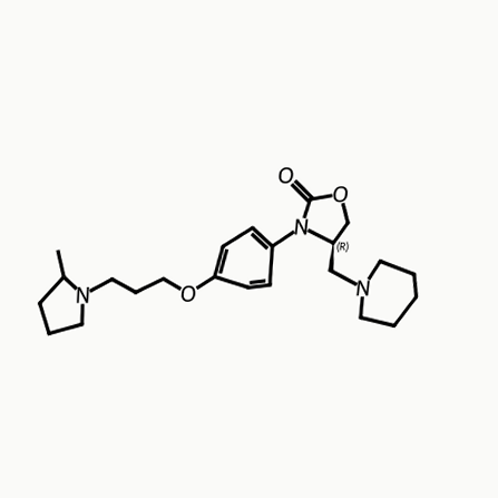 CC1CCCN1CCCOc1ccc(N2C(=O)OC[C@H]2CN2CCCCC2)cc1